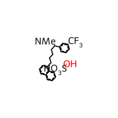 CNC(CCCCc1cccc2ccccc12)c1cccc(C(F)(F)F)c1.O=S(=O)(O)O